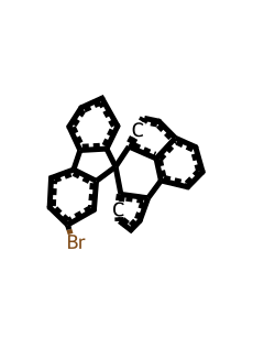 Brc1ccc2c(c1)C1(c3ccccc3-2)c2ccccc2-c2cccc3cccc1c23